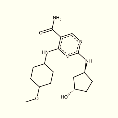 COC1CCC(Nc2nc(N[C@H]3CC[C@H](O)C3)ncc2C(N)=O)CC1